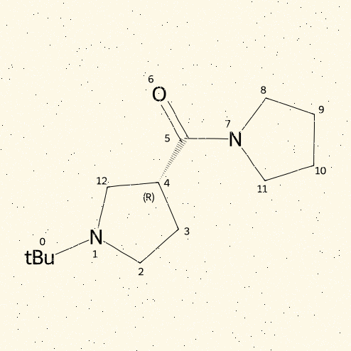 CC(C)(C)N1CC[C@@H](C(=O)N2CCCC2)C1